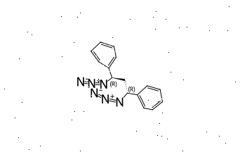 [N-]=[N+]=N[C@H](C[C@@H](N=[N+]=[N-])c1ccccc1)c1ccccc1